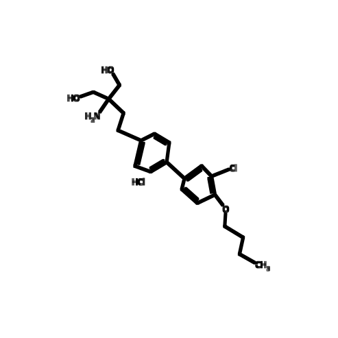 CCCCOc1ccc(-c2ccc(CCC(N)(CO)CO)cc2)cc1Cl.Cl